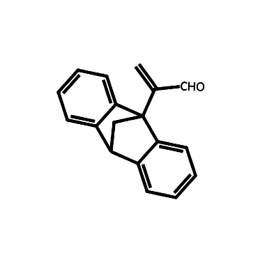 C=C(C=O)C12CC(c3ccccc31)c1ccccc12